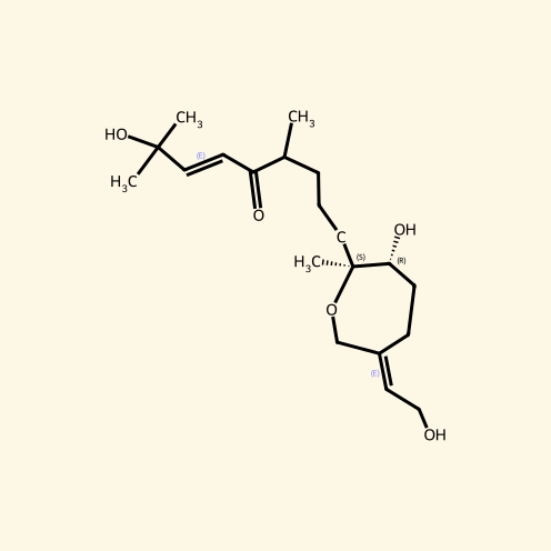 CC(CCC[C@]1(C)OC/C(=C/CO)CC[C@H]1O)C(=O)/C=C/C(C)(C)O